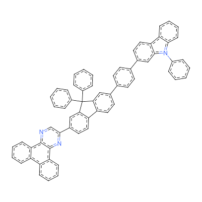 c1ccc(-n2c3ccccc3c3ccc(-c4ccc(-c5ccc6c(c5)C(c5ccccc5)(c5ccccc5)c5cc(-c7cnc8c9ccccc9c9ccccc9c8n7)ccc5-6)cc4)cc32)cc1